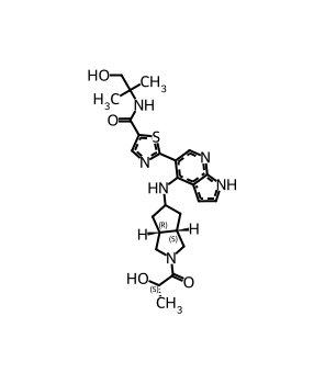 C[C@H](O)C(=O)N1C[C@H]2CC(Nc3c(-c4ncc(C(=O)NC(C)(C)CO)s4)cnc4[nH]ccc34)C[C@H]2C1